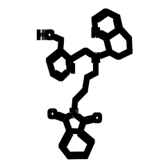 O=C1c2ccccc2C(=O)N1CCCCN(Cc1ncccc1CO)C1CCCc2cccnc21